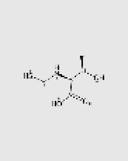 C[C@@H](O)[C@H](NCS)C(=O)O